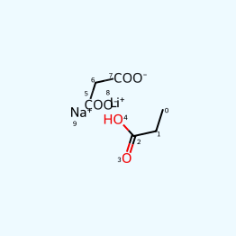 CCC(=O)O.O=C([O-])CC(=O)[O-].[Li+].[Na+]